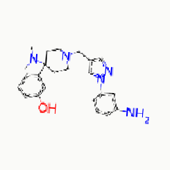 CN(C)C1(c2cccc(O)c2)CCN(Cc2cnn(-c3cccc(N)c3)c2)CC1